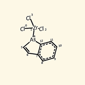 [Cl][Zr]([Cl])([Cl])[As]1C=Cc2ccccc21